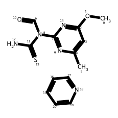 COc1cc(C)nc(N(C=O)C(N)=S)n1.c1ccncc1